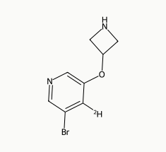 [2H]c1c(Br)cncc1OC1CNC1